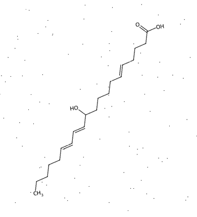 CCCCCC=CC=CC(O)CCCCC=CCCCC(=O)O